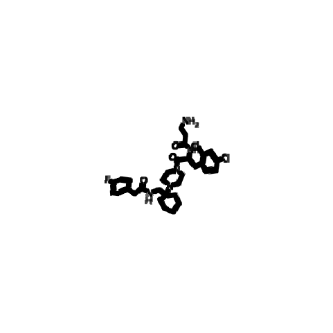 NCCC(=O)NC(Cc1ccc(Cl)cc1Cl)C(=O)N1CCN(C2(CNC(=O)Cc3ccc(F)cc3)CCCCC2)CC1